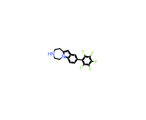 Fc1c(F)c(F)c(-c2ccc3c(c2)cc2n3CCNCC2)c(F)c1F